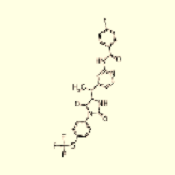 CC(c1ccnc(NC(=O)c2ccc(F)cc2)c1)C1NC(=O)N(c2ccc(SC(F)(F)F)cc2)C1=O